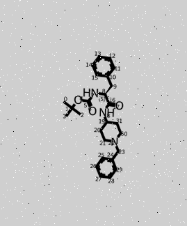 CC(C)(C)OC(=O)N[C@@H](Cc1ccccc1)C(=O)NC1CCN(Cc2ccccc2)CC1